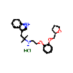 CC(C)(Cc1c[nH]c2ccccc12)NCCOc1ccccc1OCC1CCCO1.Cl